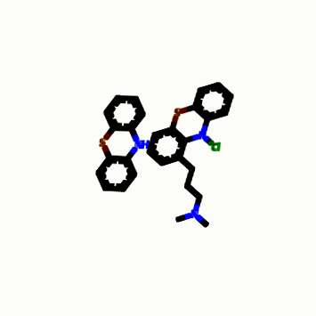 CN(C)CCCc1cccc2c1N(Cl)c1ccccc1S2.c1ccc2c(c1)Nc1ccccc1S2